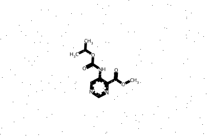 COC(=O)c1ncncc1NC(=O)OC(C)C